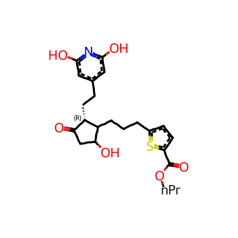 CCCOC(=O)c1ccc(CCCC2C(O)CC(=O)[C@@H]2CCc2cc(O)nc(O)c2)s1